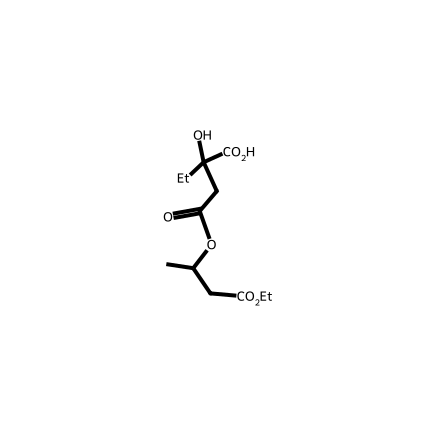 CCOC(=O)CC(C)OC(=O)CC(O)(CC)C(=O)O